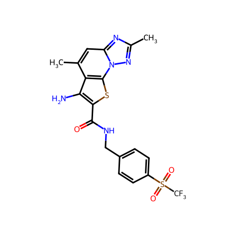 Cc1nc2cc(C)c3c(N)c(C(=O)NCc4ccc(S(=O)(=O)C(F)(F)F)cc4)sc3n2n1